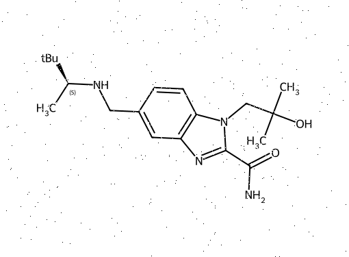 C[C@H](NCc1ccc2c(c1)nc(C(N)=O)n2CC(C)(C)O)C(C)(C)C